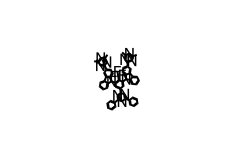 Cc1nc(C)nc(-c2ccc3c(c2)c2ccccc2n3-c2cc(-c3nc(-c4ccccc4)nc(-c4ccccc4)n3)cc(-n3c4ccccc4c4cc(-c5nc(C)nc(C)n5)ccc43)c2C(F)(F)F)n1